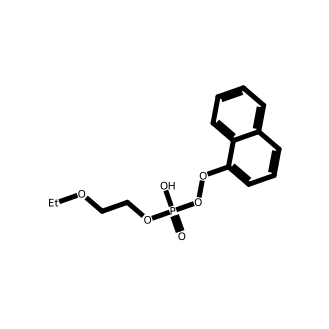 CCOCCOP(=O)(O)OOc1cccc2ccccc12